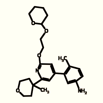 Cc1ccc(N)cc1-c1cc(OCCOC2CCCCO2)nc(C2(C)CCOCC2)c1